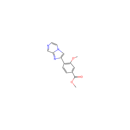 COC(=O)c1ccc(-c2cn3ccncc3n2)c(OC)c1